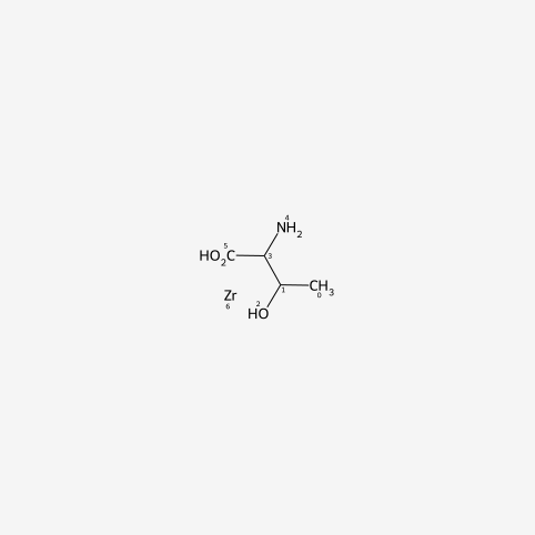 CC(O)C(N)C(=O)O.[Zr]